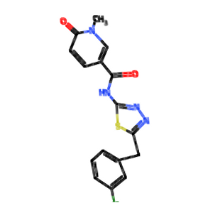 Cn1cc(C(=O)Nc2nnc(Cc3cccc(Cl)c3)s2)ccc1=O